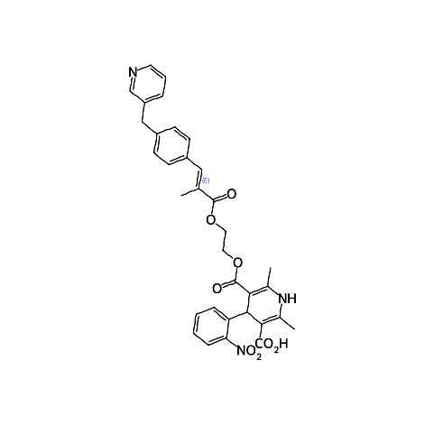 CC1=C(C(=O)O)C(c2ccccc2[N+](=O)[O-])C(C(=O)OCCOC(=O)/C(C)=C/c2ccc(Cc3cccnc3)cc2)=C(C)N1